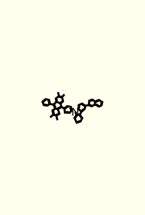 Cc1cc2c(-c3ccccc3)c3cc(C)c(C)cc3c(-c3ccc(-n4c5ccccc5c5cc(-c6ccc7ccccc7c6)ccc54)cc3)c2cc1C